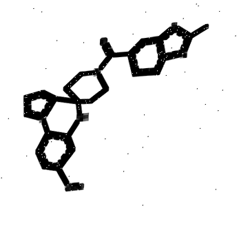 COc1ccc2c(c1)NC1(CCN(C(=O)c3ccc4nc(C)sc4c3)CC1)c1cccn1-2